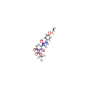 C#CCOc1ccc(N2CCN(C3CCC(=O)N(C(=O)OC(C)(C)C)C3=O)C2=O)cc1